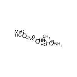 COc1cc(CNC(=O)Cc2cccc(CC(C)NC[C@@H](O)c3ccc(N)nc3)c2)ccc1O